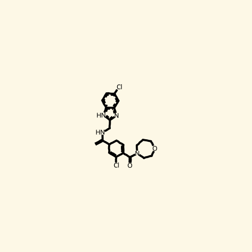 C=C(NCc1nc2cc(Cl)ccc2[nH]1)C1C=C(Cl)C(C(=O)N2CCCOCC2)=CC1